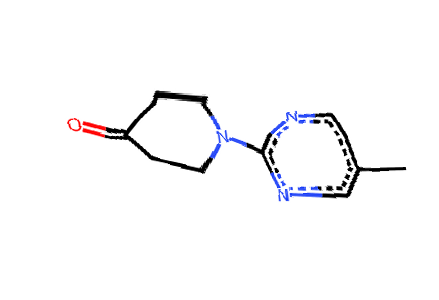 Cc1cnc(N2CCC(=O)CC2)nc1